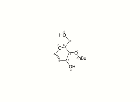 CCCCOC1C(O)C=COC1CO